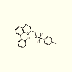 Cc1ccc(S(=O)(=O)OCC2COc3cccc(-c4ccccc4Cl)c3O2)cc1